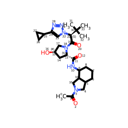 CC(=O)N1CC2CCCC(NC(=O)[C@@H]3C[C@@H](O)CN3C(=O)[C@@H](n3cc(C4CC4)nn3)C(C)(C)C)C2C1